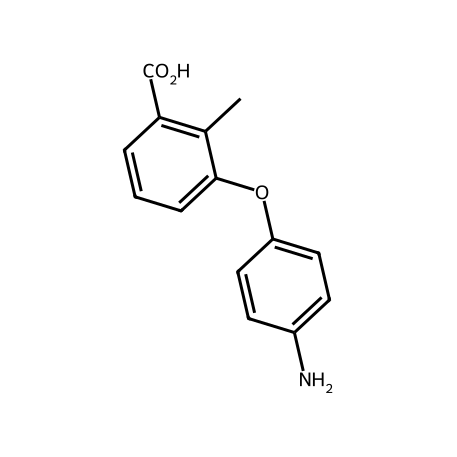 Cc1c(Oc2ccc(N)cc2)cccc1C(=O)O